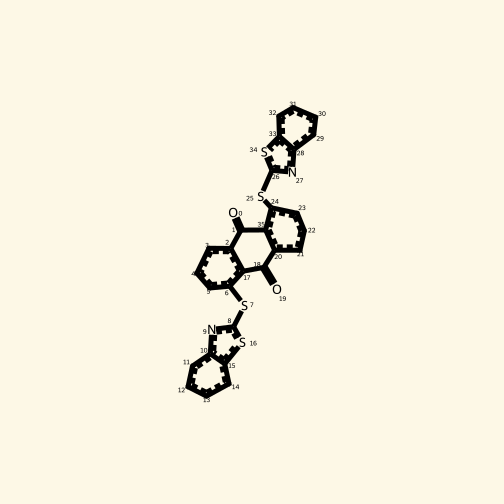 O=C1c2cccc(Sc3nc4ccccc4s3)c2C(=O)c2cccc(Sc3nc4ccccc4s3)c21